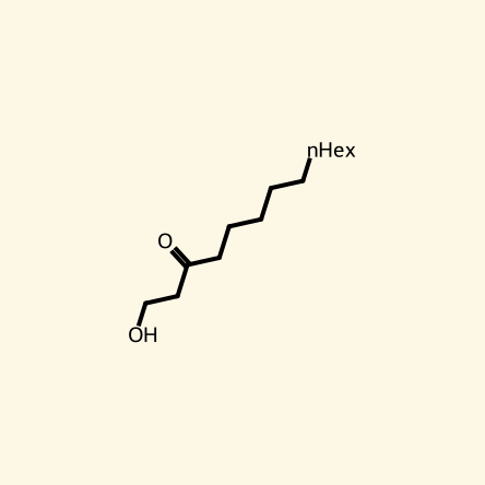 CCCCCCCCCCCC(=O)CCO